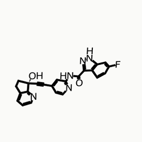 O=C(Nc1cc(C#C[C@]2(O)CCc3cccnc32)ccn1)c1n[nH]c2cc(F)ccc12